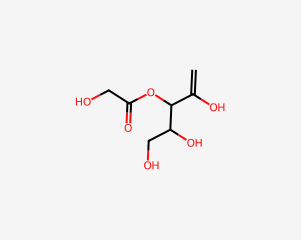 C=C(O)C(OC(=O)CO)C(O)CO